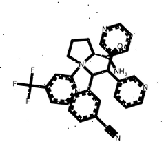 N#Cc1cccc(C(C(c2cccnc2)c2cccnc2)[N+]2(c3cc(C(F)(F)F)ccn3)CCC[C@H]2C(N)=O)c1